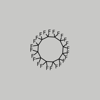 FC1(F)C(F)(F)C(F)(F)C(F)(F)C(F)(F)C(F)(F)C(F)(F)C(F)(F)C(F)(F)C(F)(F)C(F)(F)C1(F)F